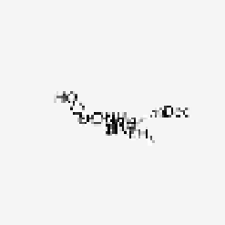 CCCCCCCCCCCCCCSC(C)NNC(=O)Nc1ccc(Oc2ccc(O)cc2)cc1